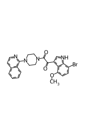 COc1ccc(Br)c2[nH]cc(C(=O)C(=O)N3CCN(c4nccc5ccccc45)CC3)c12